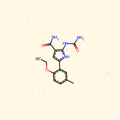 Cc1ccc(OCC#N)c(-c2cc(C(N)=O)c(NC(N)=O)[nH]2)c1